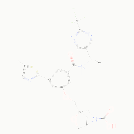 Cc1cnc(-c2cc(OCC34CC(CO3)N(C(=O)O)C4)cc(C(=O)N[C@H](C)c3cnc(C(F)(F)F)nc3)c2)s1